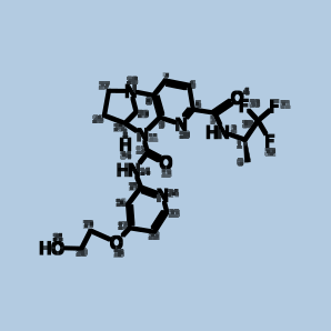 C[C@@H](NC(=O)c1ccc2c(n1)N(C(=O)Nc1cc(OCCO)ccn1)[C@H]1CCN2C1)C(F)(F)F